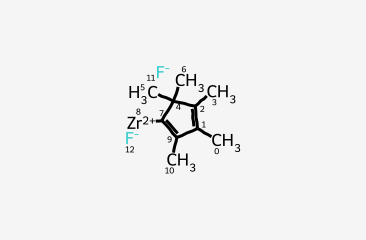 CC1=C(C)C(C)(C)[C]([Zr+2])=C1C.[F-].[F-]